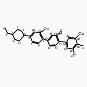 CCC1CCC(c2ccc(-c3ccc(-c4cc(F)c(C)c(F)c4)c(F)c3)c(F)c2)CC1